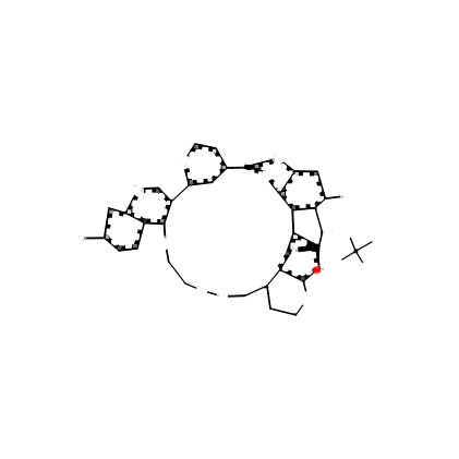 Cc1cc2nc3sc2c(c1[C@H](OC(C)(C)C)C(=O)O)-c1ccc2c(c1)C(CCCC[C@H](C)Oc1c(cnc4cc(N)ccc14)-c1cc-3ccn1)CCO2